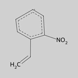 C=Cc1cc[c]cc1[N+](=O)[O-]